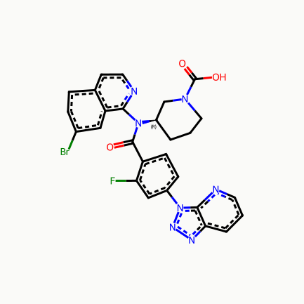 O=C(O)N1CCC[C@@H](N(C(=O)c2ccc(-n3nnc4cccnc43)cc2F)c2nccc3ccc(Br)cc23)C1